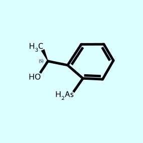 C[C@H](O)c1ccccc1[AsH2]